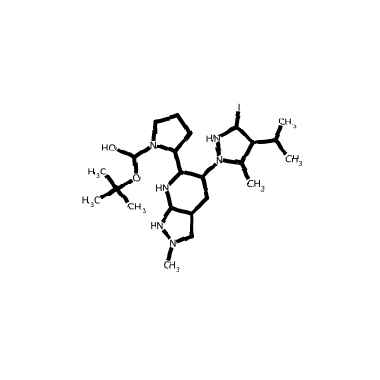 CC(C)C1C(I)NN(C2CC3CN(C)NC3NC2C2CCCN2C(O)OC(C)(C)C)C1C